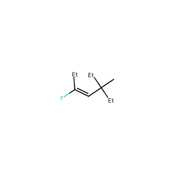 CC/C(F)=C\C(C)(CC)CC